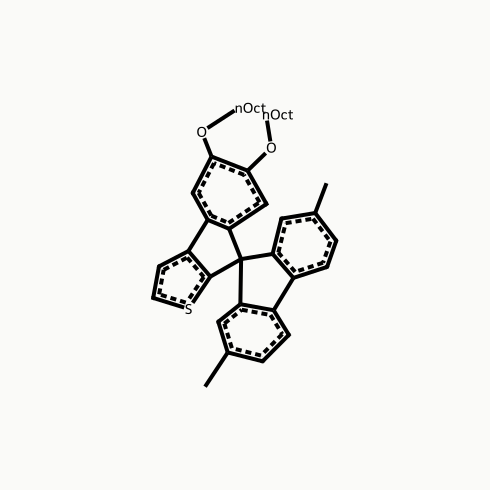 CCCCCCCCOc1cc2c(cc1OCCCCCCCC)C1(c3cc(C)ccc3-c3ccc(C)cc31)c1sccc1-2